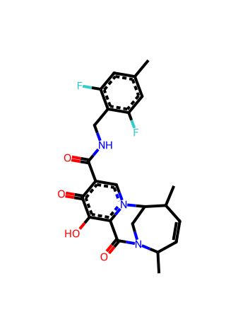 Cc1cc(F)c(CNC(=O)c2cn3c(c(O)c2=O)C(=O)N2CC3C(C)C=CC2C)c(F)c1